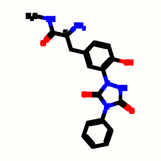 CNC(=O)[C@@H](N)Cc1ccc(O)c(-n2[nH]c(=O)n(-c3ccccc3)c2=O)c1